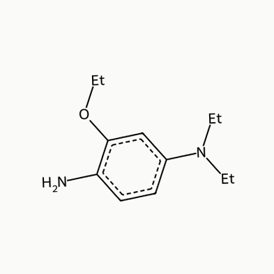 CCOc1cc(N(CC)CC)ccc1N